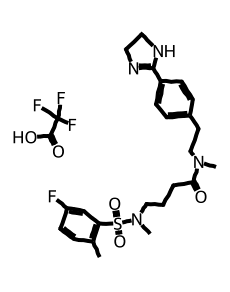 Cc1ccc(F)cc1S(=O)(=O)N(C)CCCC(=O)N(C)CCc1ccc(C2=NCCN2)cc1.O=C(O)C(F)(F)F